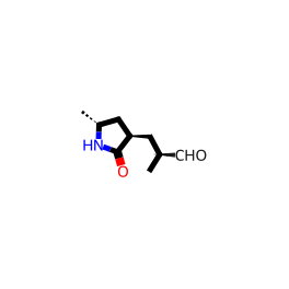 C[C@H](C=O)C[C@@H]1C[C@@H](C)NC1=O